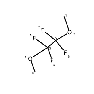 COC(F)(F)C(F)(F)OC